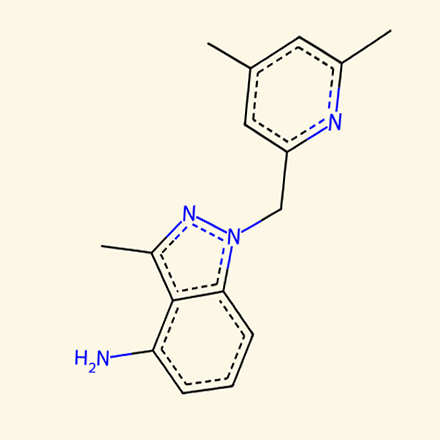 Cc1cc(C)nc(Cn2nc(C)c3c(N)cccc32)c1